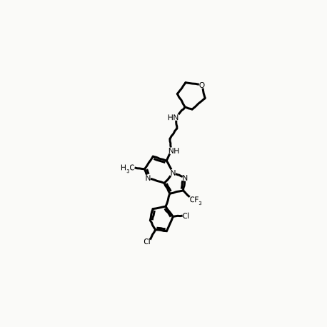 Cc1cc(NCCNC2CCOCC2)n2nc(C(F)(F)F)c(-c3ccc(Cl)cc3Cl)c2n1